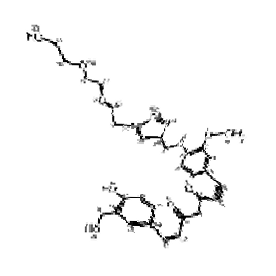 COc1cc(/C=C\C(=O)CC(=O)/C=C\c2ccc(O)c(CO)c2)ccc1OCc1cn(CCOCCOCCO)nn1